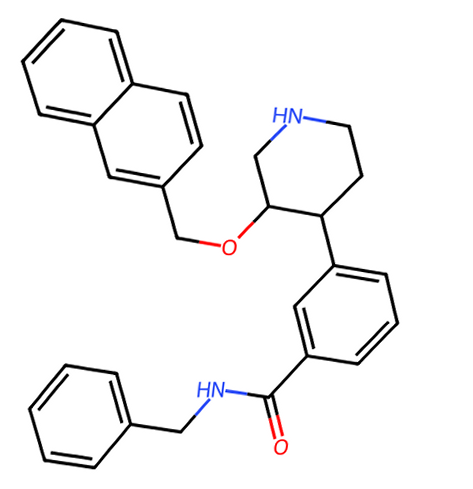 O=C(NCc1ccccc1)c1cccc(C2CCNCC2OCc2ccc3ccccc3c2)c1